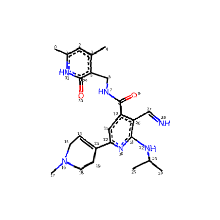 Cc1cc(C)c(CNC(=O)c2cc(C3=CCN(C)CC3)nc(NC(C)C)c2C=N)c(=O)[nH]1